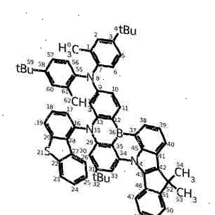 Cc1cc(C(C)(C)C)ccc1N(c1ccc2c(c1)N(c1cccc3sc4ccccc4c13)c1cc(C(C)(C)C)cc3c1B2c1cccc2c4c(n-3c12)-c1ccccc1C4(C)C)c1ccc(C(C)(C)C)cc1C